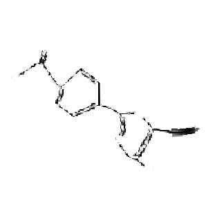 N#Cc1oc(-c2ccc(C(=O)Cl)cc2)nc1Cl